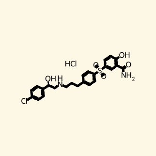 Cl.NC(=O)c1cc(S(=O)(=O)c2ccc(CCCNC[C@H](O)c3ccc(Cl)cc3)cc2)ccc1O